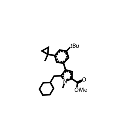 COC(=O)c1cc(-c2cc(C(C)(C)C)cc(C3(C)CC3)c2)c(CC2CCCCC2)n1C